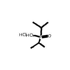 CC(C)P(=O)(O)C(C)C.Cl